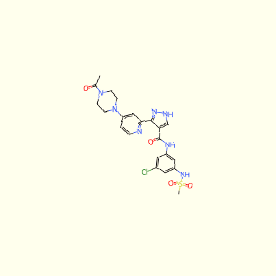 CC(=O)N1CCN(c2ccnc(-c3n[nH]cc3C(=O)Nc3cc(Cl)cc(NS(C)(=O)=O)c3)c2)CC1